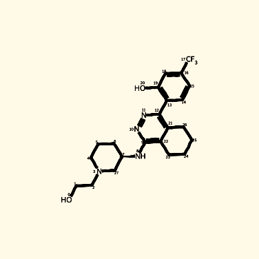 OCCN1CCC[C@@H](Nc2nnc(-c3ccc(C(F)(F)F)cc3O)c3c2CCCC3)C1